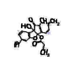 C=C/C=C\C1=C(C)C(=O)C2(O)c3ccc(C(C)C)cc3OC12OC(=O)C=C